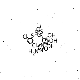 CCOP(=S)(OCC)SCSc1cc(Cl)ccc1Cl.Nc1ccn([C@@H]2O[C@H](CO)[C@@H](O)[C@H]2O)c(=O)n1